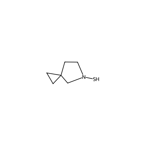 SN1CCC2(CC2)C1